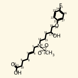 CS(=O)(=O)N(CC=CCCCC(=O)O)CCCC(O)COc1ccc(F)cc1